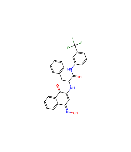 O=C1C(NC(Cc2ccccc2)C(=O)Nc2cccc(C(F)(F)F)c2)=CC(=NO)c2ccccc21